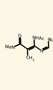 CCC(C)/C=N\C(NC(C)=O)=C(/C)C(=O)NC